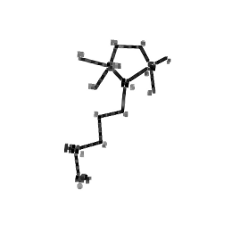 [CH2]CCNCCCN1[Si](C)(C)CC[Si]1(C)C